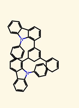 C1=CCCC(C2=CC(c3cccc4c5ccccc5n(-c5ccccc5)c34)=CC(c3cccc4c5ccccc5n(-c5ccccc5)c34)C2)=C1